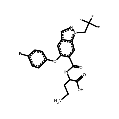 NCCC(NC(=O)c1cc2c(cnn2CC(F)(F)F)cc1Oc1ccc(F)cc1)C(=O)O